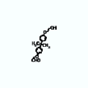 CC(C)(c1ccc(OCC=O)cc1)c1ccc(OCCO)cc1